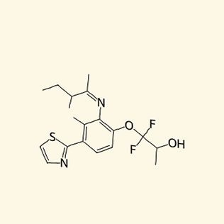 CCC(C)/C(C)=N\c1c(OC(F)(F)C(C)O)ccc(-c2nccs2)c1C